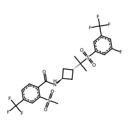 CC(C)([C@H]1C[C@H](NC(=O)c2ccc(C(F)(F)F)cc2S(C)(=O)=O)C1)S(=O)(=O)c1cc(F)cc(C(F)(F)F)c1